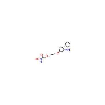 O=C(COC/C=C/COc1ccc2c(c1)[nH]c1ccccc12)NO